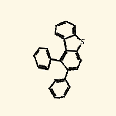 c1ccc(-c2ccc3sc4ccccc4c3c2-c2ccccc2)cc1